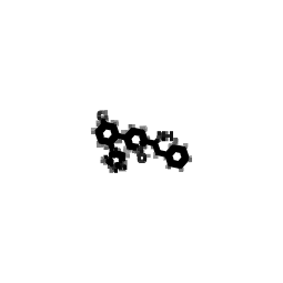 N[C@@H](Cc1ccccc1)c1ccc(-c2cc(Cl)ccc2-n2cnnn2)c[n+]1[O-]